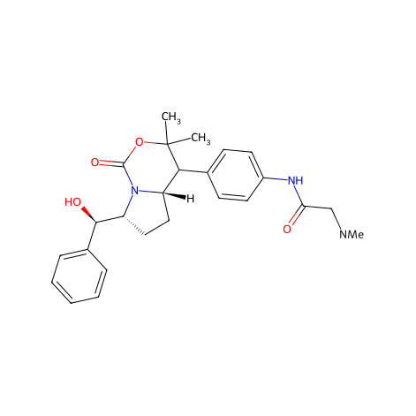 CNCC(=O)Nc1ccc(C2[C@@H]3CC[C@H]([C@H](O)c4ccccc4)N3C(=O)OC2(C)C)cc1